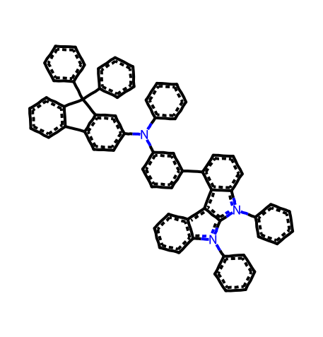 c1ccc(N(c2cccc(-c3cccc4c3c3c5ccccc5n(-c5ccccc5)c3n4-c3ccccc3)c2)c2ccc3c(c2)C(c2ccccc2)(c2ccccc2)c2ccccc2-3)cc1